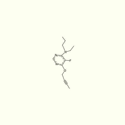 CC#CCOc1ncnc(N(CC)CCC)c1F